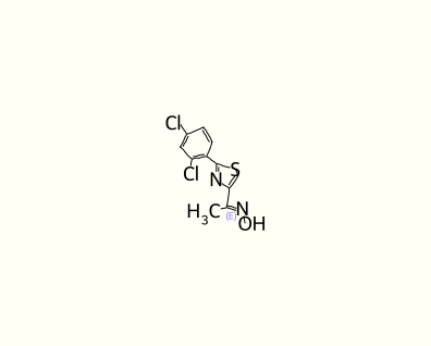 C/C(=N\O)c1csc(-c2ccc(Cl)cc2Cl)n1